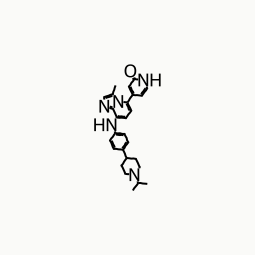 Cc1cnc2c(Nc3ccc(C4CCN(C(C)C)CC4)cc3)ccc(-c3cc[nH]c(=O)c3)n12